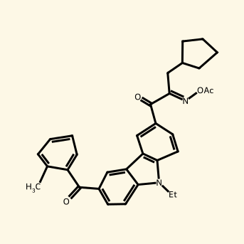 CCn1c2ccc(C(=O)C(CC3CCCC3)=NOC(C)=O)cc2c2cc(C(=O)c3ccccc3C)ccc21